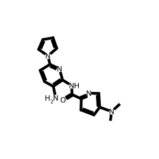 CN(C)c1ccc(C(=O)Nc2nc(-n3cccc3)ccc2N)nc1